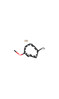 Br.COc1cc[c]([Zn])cc1